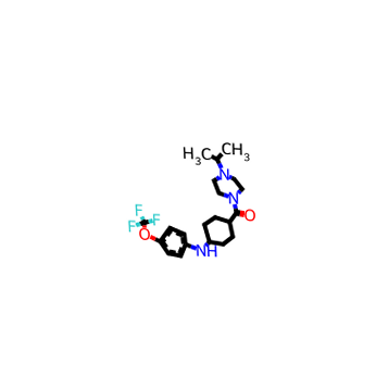 CC(C)N1CCN(C(=O)C2CCC(Nc3ccc(OC(F)(F)F)cc3)CC2)CC1